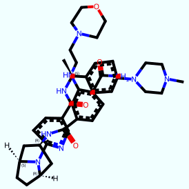 C[C@H](NC(=O)c1ccc(N2[C@@H]3CC[C@H]2C[C@@H](NC(=O)c2ccc(C(N)=O)c(NCCN4CCOCC4)c2)C3)nc1)c1ccc(N2CCN(C)CC2)cc1